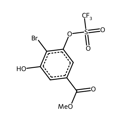 COC(=O)c1cc(O)c(Br)c(OS(=O)(=O)C(F)(F)F)c1